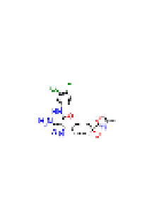 Cc1coc(C2(O)CC3CC(c4nn(C)c(N)c4C(=O)Nc4ccc(F)c(Cl)c4)CC3C2)n1